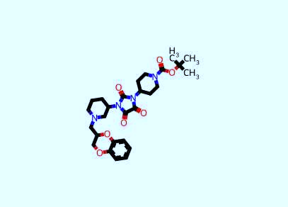 CC(C)(C)OC(=O)N1CCC(N2C(=O)C(=O)N(C3CCCN(CC4COc5ccccc5O4)C3)C2=O)CC1